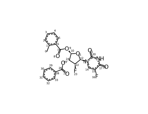 Cc1ccccc1C(=O)O[C@H]1O[C@@H](n2cc(F)c(=O)[nH]c2=O)[C@@H](F)[C@@H]1OC(=O)c1ccccc1